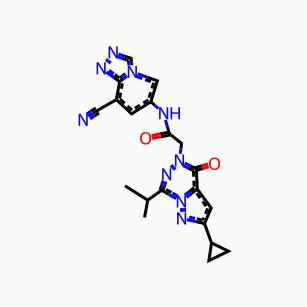 CC(C)c1nn(CC(=O)Nc2cc(C#N)c3nncn3c2)c(=O)c2cc(C3CC3)nn12